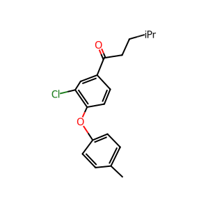 Cc1ccc(Oc2ccc(C(=O)CCC(C)C)cc2Cl)cc1